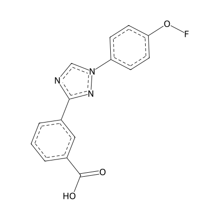 O=C(O)c1cccc(-c2ncn(-c3ccc(OF)cc3)n2)c1